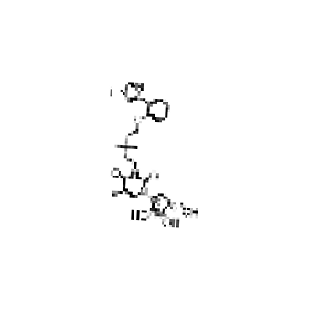 CC(C)(CCOc1ccccc1-c1c[nH]cn1)CCn1c(=O)c(F)cn([C@@H]2C[C@H](CO)[C@@H](O)[C@H]2O)c1=O